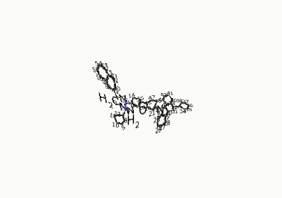 C=C(/N=C(\N=C(/N)c1ccccc1)c1ccc2c(c1)oc1cc(-n3c4ccccc4c4cc(-c5ccccc5)c5ccccc5c43)ccc12)c1ccc2ccccc2c1